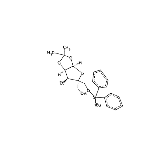 CC[C@H]1[C@H]2OC(C)(C)O[C@H]2O[C@@]1(CO)CO[Si](c1ccccc1)(c1ccccc1)C(C)(C)C